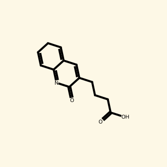 O=C(O)CCCC1=CC2=CCC=CC2=NC1=O